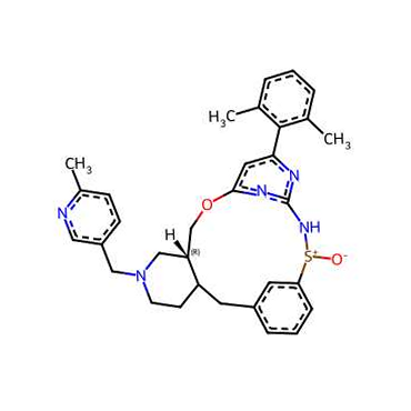 Cc1ccc(CN2CCC3Cc4cccc(c4)[S+]([O-])Nc4nc(cc(-c5c(C)cccc5C)n4)OC[C@H]3C2)cn1